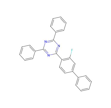 Fc1cc(-c2ccccc2)ccc1-c1nc(-c2ccccc2)nc(-c2ccccc2)n1